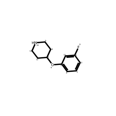 Fc1cccc(OC2CCNCC2)c1